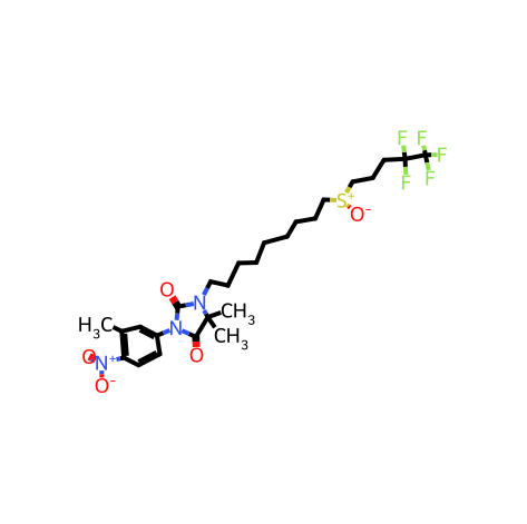 Cc1cc(N2C(=O)N(CCCCCCCCC[S+]([O-])CCCC(F)(F)C(F)(F)F)C(C)(C)C2=O)ccc1[N+](=O)[O-]